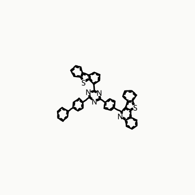 c1ccc(-c2ccc(-c3nc(-c4ccc(-c5nc6ccccc6c6sc7ccccc7c56)cc4)nc(-c4cccc5c4sc4ccccc45)n3)cc2)cc1